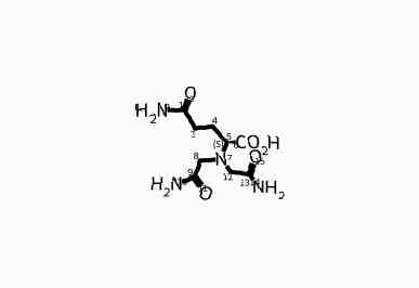 NC(=O)CC[C@@H](C(=O)O)N(CC(N)=O)CC(N)=O